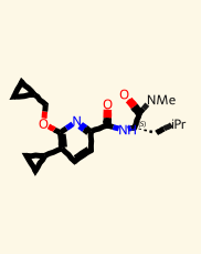 CNC(=O)[C@H](CC(C)C)NC(=O)c1ccc(C2CC2)c(OCC2CC2)n1